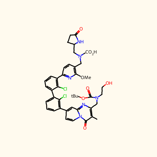 COc1nc(-c2cccc(-c3cccc(-c4ccn5c(=O)c(C)c(CN(CCO)C(=O)OC(C)(C)C)nc5c4)c3Cl)c2Cl)ccc1CN(CC1CCC(=O)N1)C(=O)O